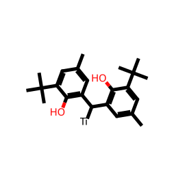 Cc1cc([CH]([Ti])c2cc(C)cc(C(C)(C)C)c2O)c(O)c(C(C)(C)C)c1